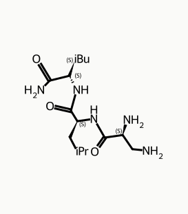 CC[C@H](C)[C@H](NC(=O)[C@H](CC(C)C)NC(=O)[C@@H](N)CN)C(N)=O